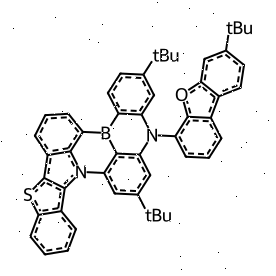 CC(C)(C)c1ccc2c(c1)N(c1cccc3c1oc1cc(C(C)(C)C)ccc13)c1cc(C(C)(C)C)cc3c1B2c1cccc2c4sc5ccccc5c4n-3c12